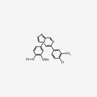 CCOc1ccc([N+]23C=CN=C2C=NC(c2ccc(Cl)c(C)c2)=C3)cc1OC